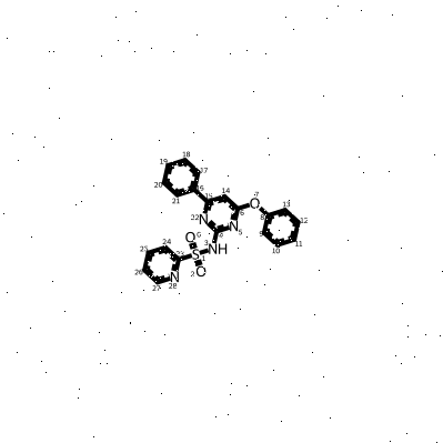 O=S(=O)(Nc1nc(Oc2ccccc2)cc(-c2ccccc2)n1)c1ccccn1